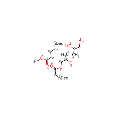 CC(O)CO.CCCCCCCCCCCC(=O)OCC(C)O.CCCCCCCCCCCCCC(=O)OC(C)C